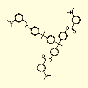 CN(C)c1cccc(COc2ccc(C(C)(C)c3ccc(C(C)(c4ccc(OC(=O)c5cccc(N(C)C)c5)cc4)c4ccc(OC(=O)c5cccc(N(C)C)c5)cc4)cc3)cc2)c1